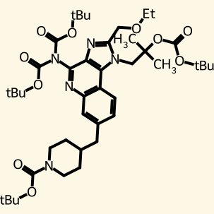 CCOCc1nc2c(N(C(=O)OC(C)(C)C)C(=O)OC(C)(C)C)nc3cc(CC4CCN(C(=O)OC(C)(C)C)CC4)ccc3c2n1CC(C)(C)OC(=O)OC(C)(C)C